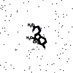 C=C(I)/C=C\C1=CC(C)(C)C2=CC(I)=CCC12